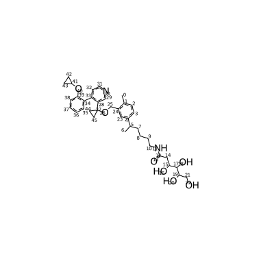 Cc1ccc(C(C)CCCCNC(=O)CC(O)C(O)C(O)CO)cc1COC1(c2cnccc2-c2ccccc2OC2CC2)CC1